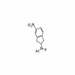 CC(=O)N(F)C1Cc2ccc([N+](=O)[O-])cc2C1